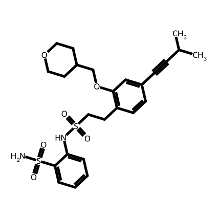 CC(C)C#Cc1ccc(CCS(=O)(=O)Nc2ccccc2S(N)(=O)=O)c(OCC2CCOCC2)c1